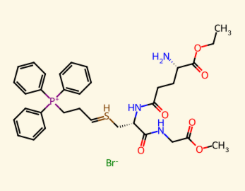 CCOC(=O)[C@@H](N)CCC(=O)N[C@@H](C[SH]=CCC[P+](c1ccccc1)(c1ccccc1)c1ccccc1)C(=O)NCC(=O)OC.[Br-]